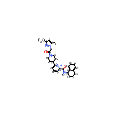 Cc1cc(C(F)(F)F)nn1CC(=O)N1CCC(C2=CC=CC(C(=O)N(C)C3CCCc4ccccc43)N2)CC1